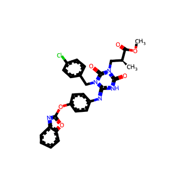 COC(=O)[C@@H](C)Cn1c(=O)[nH]/c(=N/c2ccc(Oc3nc4ccccc4o3)cc2)n(Cc2ccc(Cl)cc2)c1=O